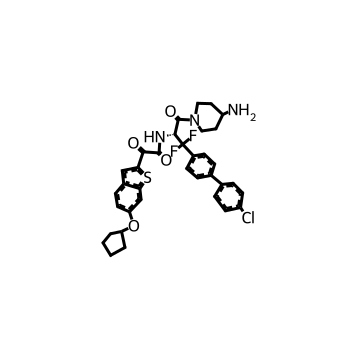 NC1CCN(C(=O)[C@@H](NC(=O)C(=O)c2cc3ccc(OC4CCCC4)cc3s2)C(F)(F)c2ccc(-c3ccc(Cl)cc3)cc2)CC1